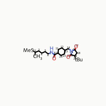 CSC(C)CCCCNC(=O)C1CCC(CN2C(=O)CC(C(C)(C)C)C2=O)CC1